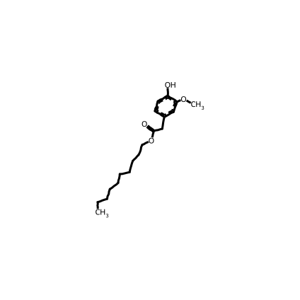 CCCCCCCCCCOC(=O)Cc1ccc(O)c(OC)c1